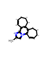 Cc1cn2c3c(c4c(c2n1)C=CCCC4)CCCC=C3